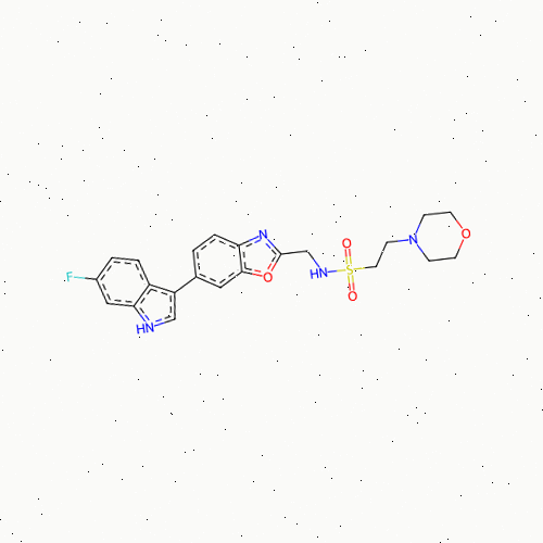 O=S(=O)(CCN1CCOCC1)NCc1nc2ccc(-c3c[nH]c4cc(F)ccc34)cc2o1